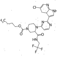 CCCCOC(=O)N1CCN(c2ccnc(C3=CNC4=NC=C(Cl)CC34)n2)C(C(=O)NCC(F)(F)F)C1